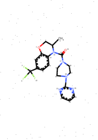 CC1COc2cc(C(F)(F)F)ccc2N1C(=O)N1CCN(c2ncccn2)CC1